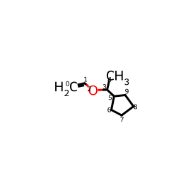 C=COC(C)C1CCCC1